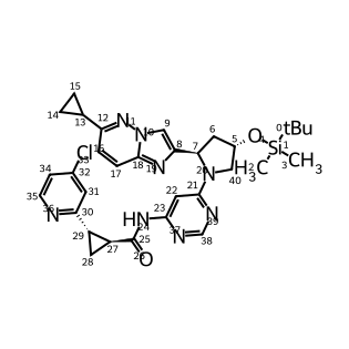 CC(C)(C)[Si](C)(C)O[C@H]1C[C@H](c2cn3nc(C4CC4)ccc3n2)N(c2cc(NC(=O)[C@H]3C[C@@H]3c3cc(Cl)ccn3)ncn2)C1